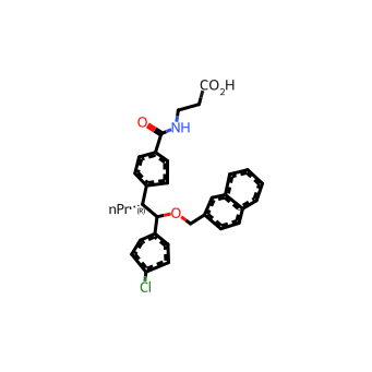 CCC[C@H](c1ccc(C(=O)NCCC(=O)O)cc1)C(OCc1ccc2ccccc2c1)c1ccc(Cl)cc1